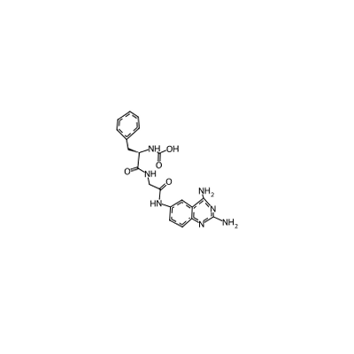 Nc1nc(N)c2cc(NC(=O)CNC(=O)[C@@H](Cc3ccccc3)NC(=O)O)ccc2n1